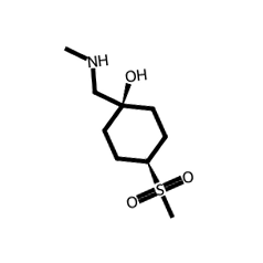 CNC[C@]1(O)CC[C@@H](S(C)(=O)=O)CC1